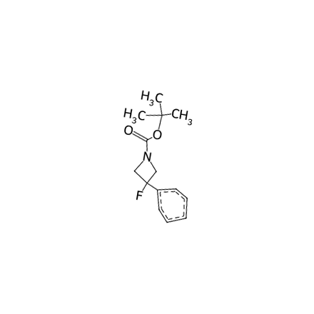 CC(C)(C)OC(=O)N1CC(F)(c2ccccc2)C1